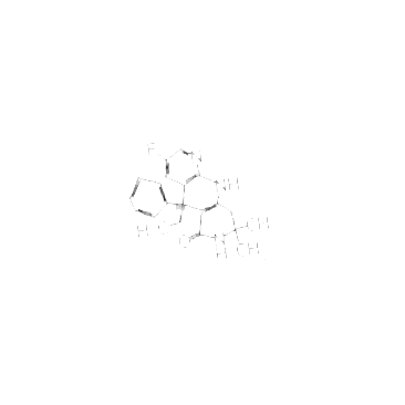 CC[C@]1(c2ccccc2)C2=C(CC(C)(C)NC2=O)Nc2ncc(F)cc21